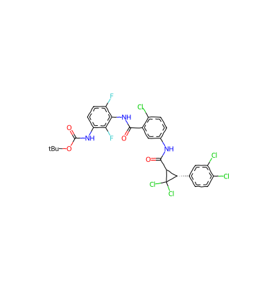 CC(C)(C)OC(=O)Nc1ccc(F)c(NC(=O)c2cc(NC(=O)C3[C@H](c4ccc(Cl)c(Cl)c4)C3(Cl)Cl)ccc2Cl)c1F